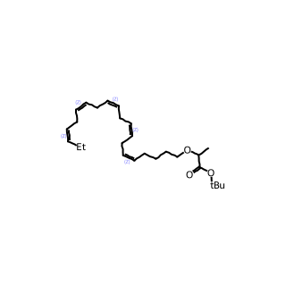 CC/C=C\C/C=C\C/C=C\C/C=C\C/C=C\CCCCOC(C)C(=O)OC(C)(C)C